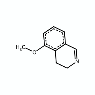 COc1cccc2c1CCN=C2